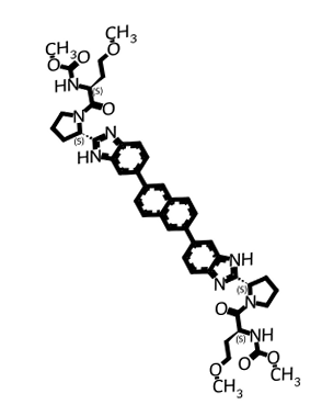 COCC[C@H](NC(=O)OC)C(=O)N1CCC[C@H]1c1nc2ccc(-c3ccc4cc(-c5ccc6nc([C@@H]7CCCN7C(=O)[C@H](CCOC)NC(=O)OC)[nH]c6c5)ccc4c3)cc2[nH]1